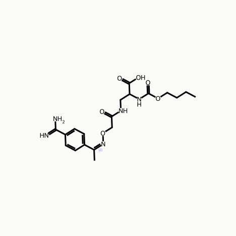 CCCCOC(=O)NC(CNC(=O)CO/N=C(/C)c1ccc(C(=N)N)cc1)C(=O)O